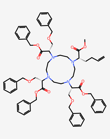 C=CCC[C@@H](C(=O)OC)N1CCN([C@@H](COCc2ccccc2)C(=O)OCc2ccccc2)CCN([C@@H](COCc2ccccc2)C(=O)OCc2ccccc2)CCN([C@@H](COCc2ccccc2)C(=O)OCc2ccccc2)CC1